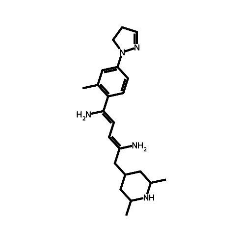 Cc1cc(N2CCC=N2)ccc1/C(N)=C/C=C(\N)CC1CC(C)NC(C)C1